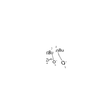 CCCC[O-].CCCC[O-].[Zr+4]